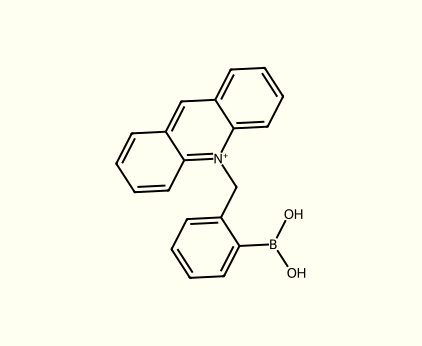 OB(O)c1ccccc1C[n+]1c2ccccc2cc2ccccc21